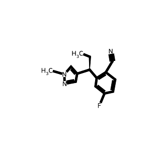 CC[C@H](c1cnn(C)c1)c1cc(F)ccc1C#N